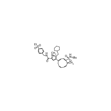 C=C1/C=C\C=C/C/C(c2cc(C(=O)NCc3ccc(S(=O)(=O)CC)cc3)n(C)c2CC2CCCCC2)=C\C=C/1S(=O)(=O)NC(C)(C)C